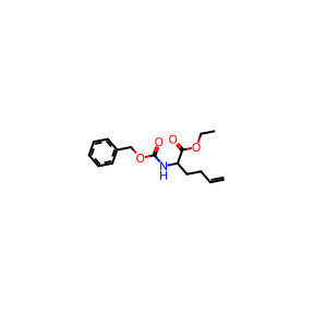 C=CCCC(NC(=O)OCc1ccccc1)C(=O)OCC